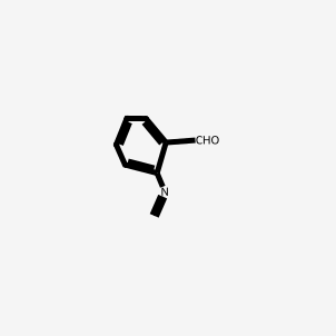 C=Nc1ccccc1C=O